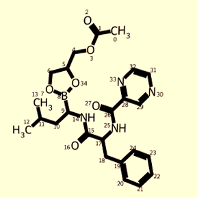 CC(=O)OCC1COB(C(CC(C)C)NC(=O)C(Cc2ccccc2)NC(=O)c2cnccn2)O1